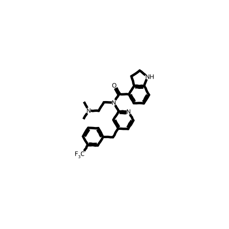 CN(C)CCN(C(=O)c1cccc2c1CCN2)c1cc(Cc2cccc(C(F)(F)F)c2)ccn1